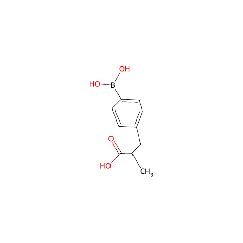 CC(Cc1ccc(B(O)O)cc1)C(=O)O